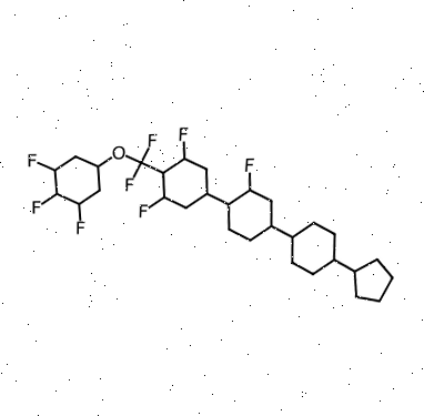 FC1CC(OC(F)(F)C2C(F)CC(C3CCC(C4CCC(C5CCCC5)CC4)CC3F)CC2F)CC(F)C1F